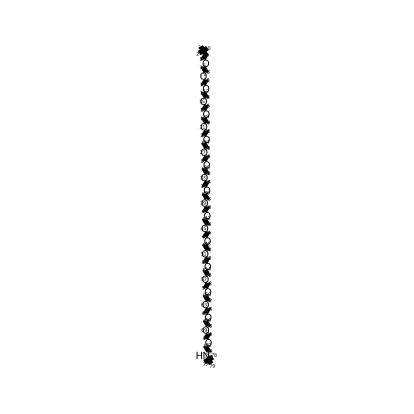 CC(C)(C)CCOCCOCCOCCOCCOCCOCCOCCOCCOCCOCCOCCOCCOCCOCCOCCOCCOCCOCCOCCOCCOCCOCCOCCNC(C)(C)C